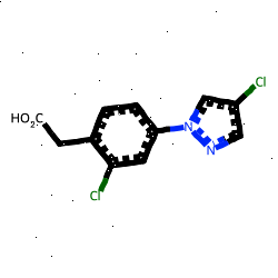 O=C(O)Cc1ccc(-n2cc(Cl)cn2)cc1Cl